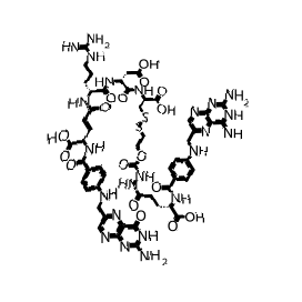 N=C(N)NCCC[C@@H](NC(=O)CC[C@@H](NC(=O)c1ccc(NCc2cnc3nc(N)[nH]c(=O)c3n2)cc1)C(=O)O)C(=O)N[C@H](CC(=O)O)C(=O)N[C@H](CSSCCOC(=O)NNC(=O)CC[C@H](NC(=O)c1ccc(NCc2cnc3nc(N)[nH]c(=N)c3n2)cc1)C(=O)O)C(=O)O